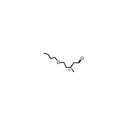 CCCCOCC[C@H](C)CC=O